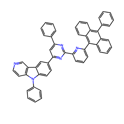 c1ccc(-c2cc(-c3ccc4c(c3)c3cnccc3n4-c3ccccc3)nc(-c3cccc(-c4c5ccccc5c(-c5ccccc5)c5ccccc45)n3)n2)cc1